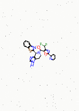 O=C(c1oc(-c2ccccn2)nc1C(F)F)N1CCc2[nH]cnc2[C@H]1c1nc2ccccc2s1